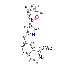 COc1nccc2ccc(Cn3cc(B4OC(C)(C)C(C)(C)O4)cn3)cc12